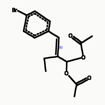 CC/C(=C\c1ccc(Br)cc1)C(OC(C)=O)OC(C)=O